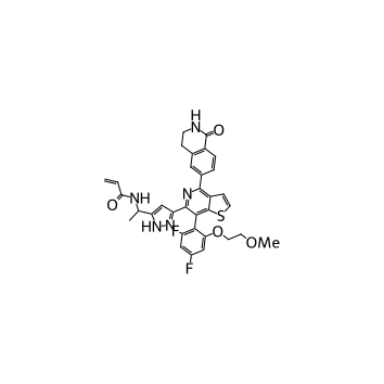 C=CC(=O)NC(C)c1cc(-c2nc(-c3ccc4c(c3)CCNC4=O)c3ccsc3c2-c2c(F)cc(F)cc2OCCOC)n[nH]1